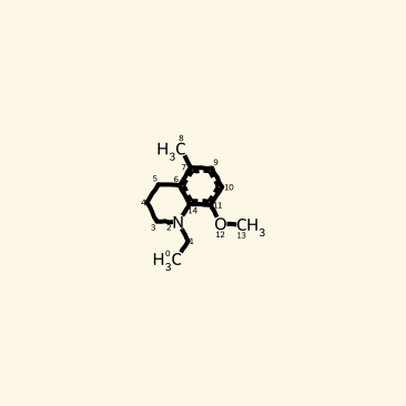 CCN1CCCc2c(C)ccc(OC)c21